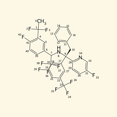 CC(F)(F)c1cc(C(N[C@@](Cc2ccccc2)(c2cc(F)cc(C(F)(F)F)c2)c2ccc(F)cn2)C(F)(F)F)ccc1F